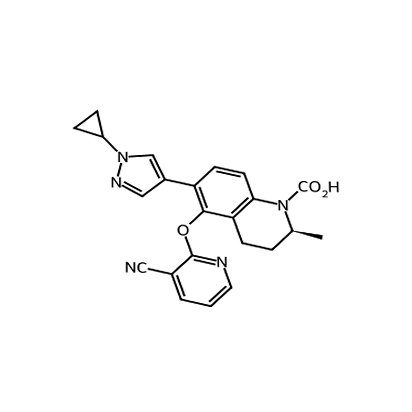 C[C@H]1CCc2c(ccc(-c3cnn(C4CC4)c3)c2Oc2ncccc2C#N)N1C(=O)O